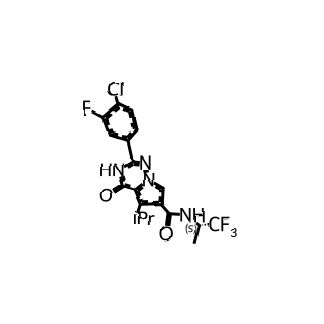 CC(C)c1c(C(=O)N[C@@H](C)C(F)(F)F)cn2nc(-c3ccc(Cl)c(F)c3)[nH]c(=O)c12